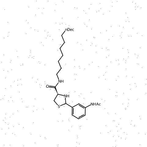 CCCCCCCCCCCCCCCCCNC(=O)[C@@H]1CSC(c2cccc(NC(C)=O)c2)N1